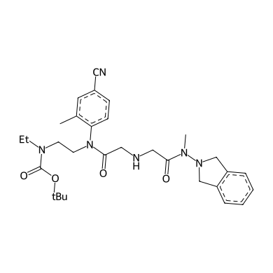 CCN(CCN(C(=O)CNCC(=O)N(C)N1Cc2ccccc2C1)c1ccc(C#N)cc1C)C(=O)OC(C)(C)C